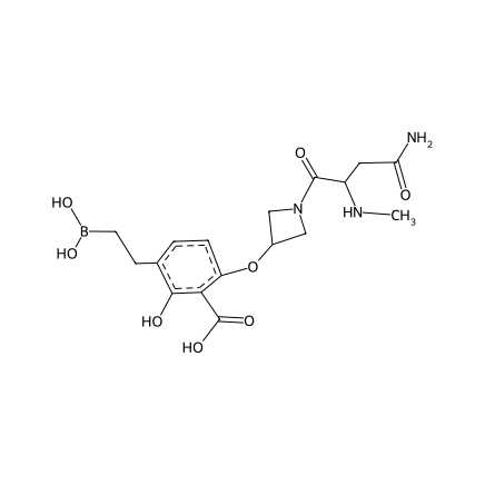 CNC(CC(N)=O)C(=O)N1CC(Oc2ccc(CCB(O)O)c(O)c2C(=O)O)C1